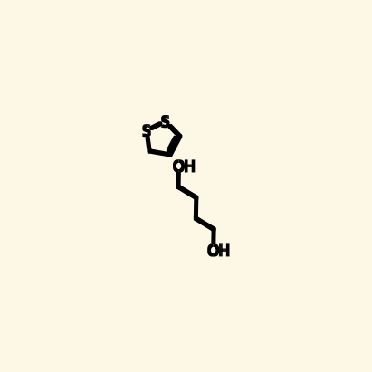 C1=CSSC1.OCCCCO